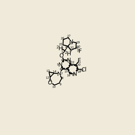 [2H]C([2H])(Oc1nc(N2CCCOC3CC32)c2cnc(Cl)c(F)c2n1)[C@@]12CCCN1C[C@H](F)C2